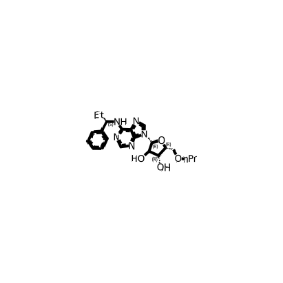 CCCOC[C@H]1O[C@@H](n2cnc3c(N[C@@H](CC)c4ccccc4)ncnc32)C(O)[C@H]1O